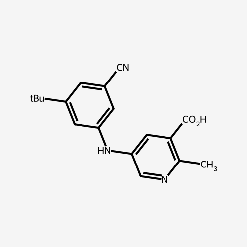 Cc1ncc(Nc2cc(C#N)cc(C(C)(C)C)c2)cc1C(=O)O